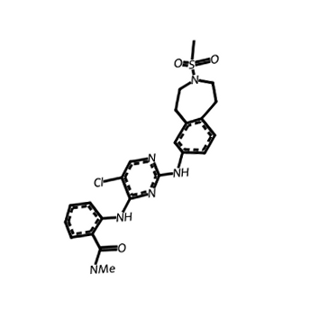 CNC(=O)c1ccccc1Nc1nc(Nc2ccc3c(c2)CCN(S(C)(=O)=O)CC3)ncc1Cl